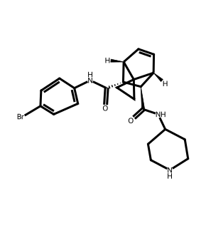 O=C(NC1CCNCC1)[C@H]1[C@H](C(=O)Nc2ccc(Br)cc2)[C@@H]2C=C[C@H]1C21CC1